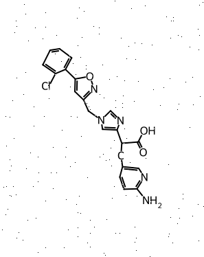 Nc1ccc(CC(C(=O)O)c2cn(Cc3cc(-c4ccccc4Cl)on3)cn2)cn1